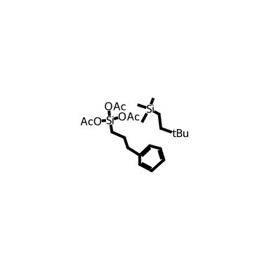 CC(=O)O[Si](CCCc1ccccc1)(OC(C)=O)OC(C)=O.CC(C)(C)CC[Si](C)(C)C